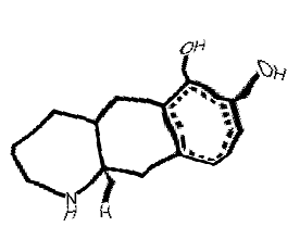 Oc1ccc2c(c1O)CC1CCCN[C@H]1C2